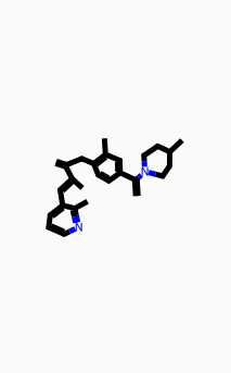 C=C(Cc1ccc(C(=C)N2CCC(C)CC2)cc1C)/C(C)=C/c1cccnc1C